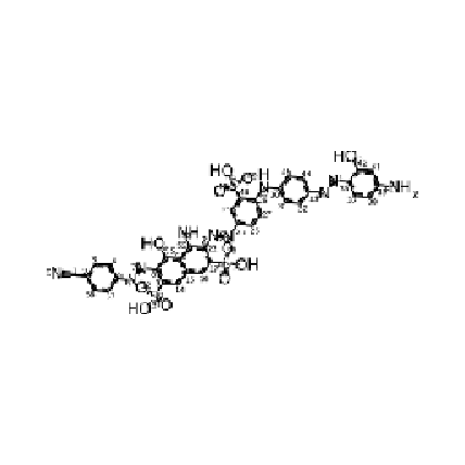 N#Cc1ccc(/N=N/c2c(S(=O)(=O)O)cc3cc(S(=O)(=O)O)c(/N=N/c4ccc(Nc5ccc(/N=N/c6ccc(N)cc6O)cc5)c(S(=O)(=O)O)c4)c(N)c3c2O)cc1